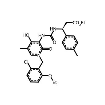 CCOC(=O)C[C@H](NC(=O)Nc1c(O)c(C)cn(Cc2c(Cl)cccc2OCC)c1=O)c1ccc(C)cc1